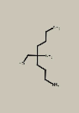 NCCCC(N)(CO)CCCN